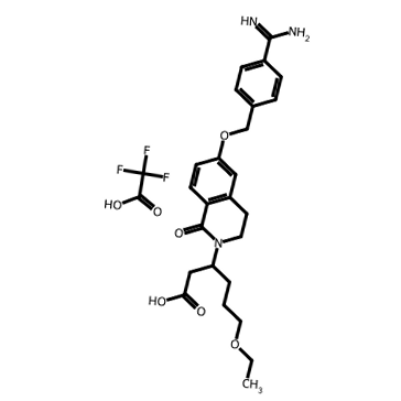 CCOCCCC(CC(=O)O)N1CCc2cc(OCc3ccc(C(=N)N)cc3)ccc2C1=O.O=C(O)C(F)(F)F